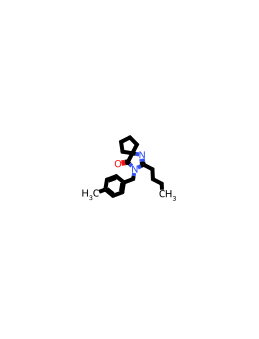 CCCCC1=NC2(CCCC2)C(=O)N1Cc1ccc(C)cc1